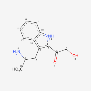 NC(Cc1c(C(=O)CO)[nH]c2ccccc12)C(=O)O